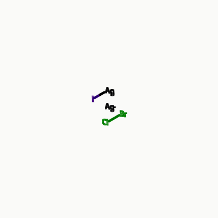 ClBr.[Ag].[Ag][I]